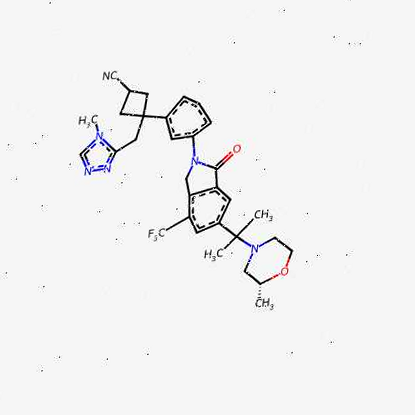 C[C@@H]1CN(C(C)(C)c2cc3c(c(C(F)(F)F)c2)CN(c2cccc(C4(Cc5nncn5C)CC(C#N)C4)c2)C3=O)CCO1